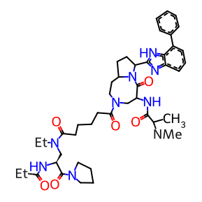 CCC(=O)N[C@@H](CN(CC)C(=O)CCCCC(=O)N1CCC2CCC(c3nc4cccc(-c5ccccc5)c4[nH]3)N2C(=O)C(NC(=O)C(C)NC)C1)C(=O)N1CCCC1